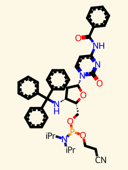 CC(C)N(C(C)C)P(OCCC#N)OC[C@H]1O[C@@H](n2ccc(NC(=O)c3ccccc3)nc2=O)C[C@H]1NC(c1ccccc1)(c1ccccc1)c1ccccc1